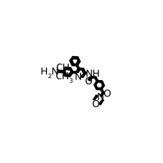 CC(C)(N)c1ccc(-c2ncc(NC(=O)CC3CCC(C(=O)N4CCOCC4)CC3)cc2-c2ccccc2)cc1